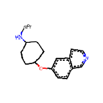 CCCNC1CCC(Oc2ccc3cnccc3c2)CC1